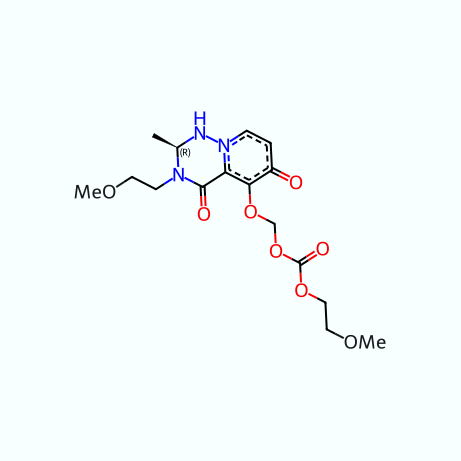 COCCOC(=O)OCOc1c2n(ccc1=O)N[C@H](C)N(CCOC)C2=O